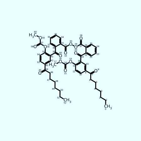 CCCCCCCC(=O)c1ccc(OC(=O)OC)c(C(=O)c2ccccc2C(=O)OOC(=O)c2ccccc2C(=O)c2cc(C(=O)CCCCCCC)ccc2OC(=O)OC)c1